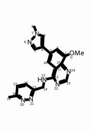 COc1cc(-c2cnn(C)c2)cc2c(NCc3ccc(C)nn3)ncnc12